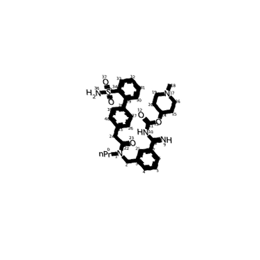 CCCN(Cc1cccc(C(=N)NC(=O)OC2CCN(C)CC2)c1)C(=O)Cc1ccc(-c2ccccc2S(N)(=O)=O)cc1